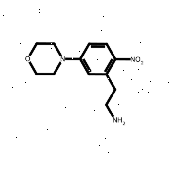 NCCc1cc(N2CCOCC2)ccc1[N+](=O)[O-]